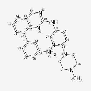 CN1CCN(c2ccc(Nc3ncc4cccc(-c5cccc(N)c5)c4n3)cn2)CC1